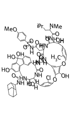 CN[C@H](CC(C)C)C(=O)N[C@H]1C(=O)N[C@@H](CC(=O)NS(=O)(=O)c2ccc(OC)cc2)C(=O)N[C@H]2C(=O)N[C@H]3C(=O)N[C@H](C(=O)N[C@H](C(=O)NC4C5CC6CC(C5)CC4C6)c4cc(O)cc5c4-c4cc3ccc4C5(O)O)[C@H](O)c3ccc(c(Cl)c3)Oc3cc2cc(c3O)Oc2ccc(cc2C)[C@H]1O